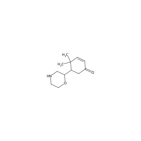 CC1(C)C=CC(=O)CC1C1CNCCO1